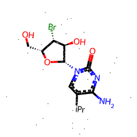 CC(C)c1cn([C@@H]2O[C@H](CO)[C@H](Br)[C@H]2O)c(=O)nc1N